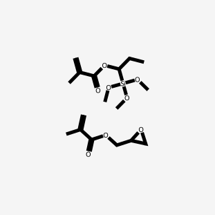 C=C(C)C(=O)OC(CC)[Si](OC)(OC)OC.C=C(C)C(=O)OCC1CO1